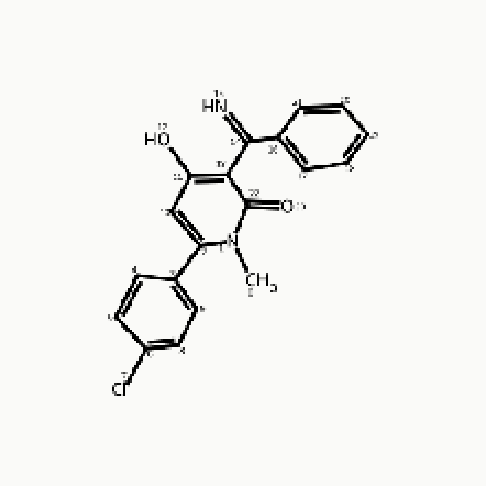 Cn1c(-c2ccc(Cl)cc2)cc(O)c(C(=N)c2ccccc2)c1=O